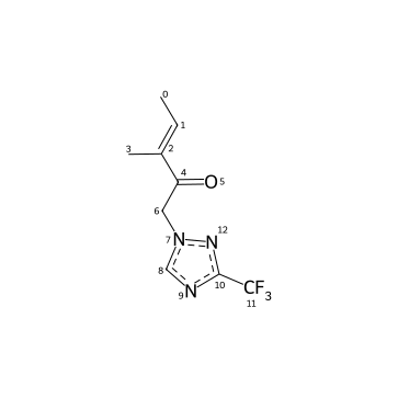 C/C=C(\C)C(=O)Cn1cnc(C(F)(F)F)n1